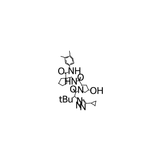 Cc1ccc(NC(=O)C2(CNC(=O)C3CC(O)CN3C(=O)[C@@H](n3cc(C4CC4)nn3)C(C)(C)C)CCCC2)cc1C